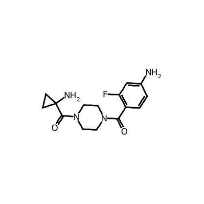 Nc1ccc(C(=O)N2CCN(C(=O)C3(N)CC3)CC2)c(F)c1